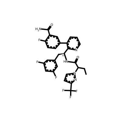 CCC(C(=O)N[C@@H](Cc1cc(F)cc(F)c1)c1ncccc1-c1ccc(F)c(C(N)=O)c1)n1ccc(C(F)(F)F)n1